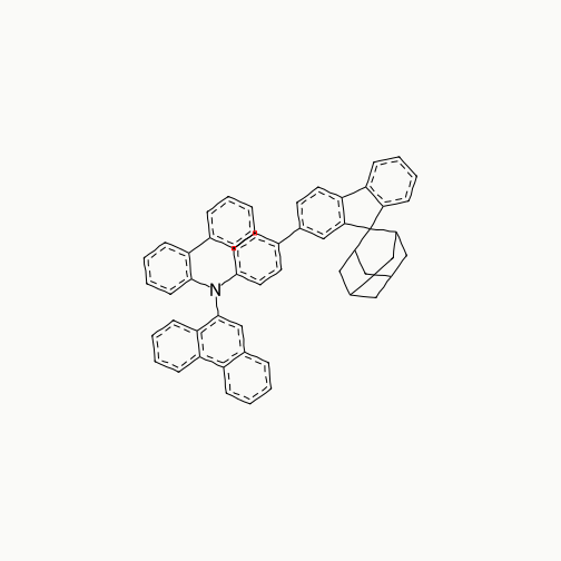 c1ccc(-c2ccccc2N(c2ccc(-c3ccc4c(c3)C3(c5ccccc5-4)C4CC5CC(C4)CC3C5)cc2)c2cc3ccccc3c3ccccc23)cc1